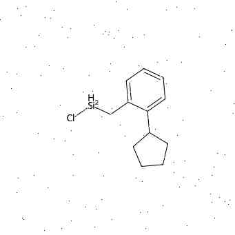 Cl[SiH2]Cc1ccccc1C1CCCC1